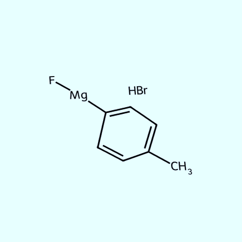 Br.Cc1cc[c]([Mg][F])cc1